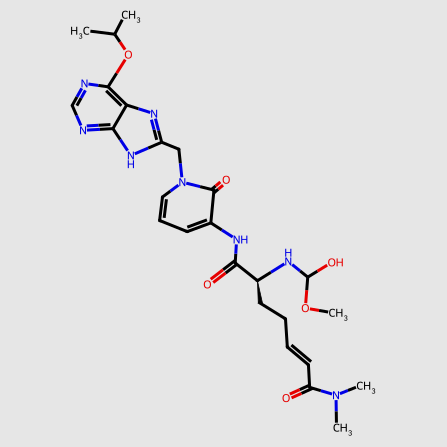 COC(O)N[C@@H](CC/C=C/C(=O)N(C)C)C(=O)Nc1cccn(Cc2nc3c(OC(C)C)ncnc3[nH]2)c1=O